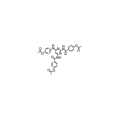 CC(=O)Oc1ccc(Nc2cc(NC(=O)c3ccc(OC(C)=O)cc3)nc(NC(=O)c3ccc(OC(C)=O)cc3)n2)cc1